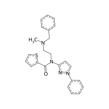 CN(CCN(C(=O)c1cccs1)c1ccn(-c2ccccc2)n1)Cc1ccccc1